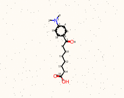 CN(C)c1ccc(C(=O)CCCCCCC(=O)O)cc1